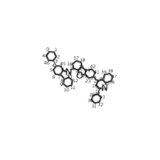 c1ccc(-c2ccc3c4ccccc4n(-c4cccc5c4oc4cc(-c6cc(-c7ccccc7)nc7ccccc67)ccc45)c3c2)cc1